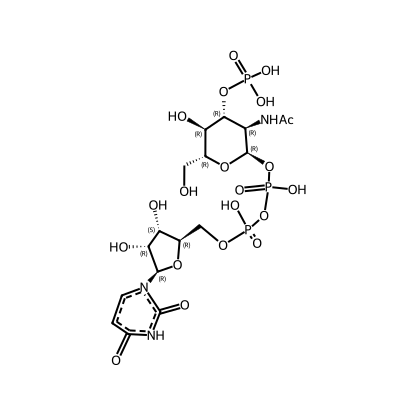 CC(=O)N[C@H]1[C@@H](OP(=O)(O)OP(=O)(O)OC[C@H]2O[C@@H](n3ccc(=O)[nH]c3=O)[C@H](O)[C@@H]2O)O[C@H](CO)[C@@H](O)[C@@H]1OP(=O)(O)O